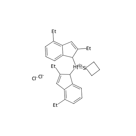 CCC1=Cc2c(CC)cccc2[CH]1[Hf+2]([CH]1C(CC)=Cc2c(CC)cccc21)=[Si]1CCC1.[Cl-].[Cl-]